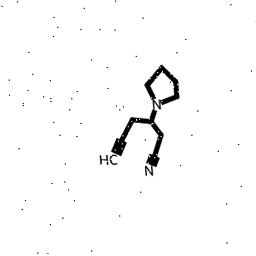 C#CCC(CC#N)N1CCCC1